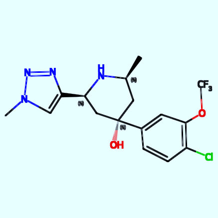 C[C@H]1C[C@@](O)(c2ccc(Cl)c(OC(F)(F)F)c2)C[C@@H](c2cn(C)nn2)N1